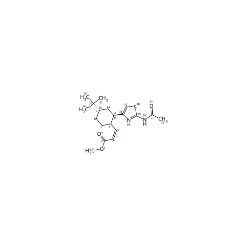 COC(=O)/C=C\C1CC[C@H](C(C)(C)C)C[C@H]1c1csc(NC(C)=O)n1